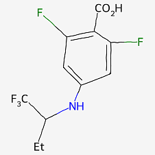 CCC(Nc1cc(F)c(C(=O)O)c(F)c1)C(F)(F)F